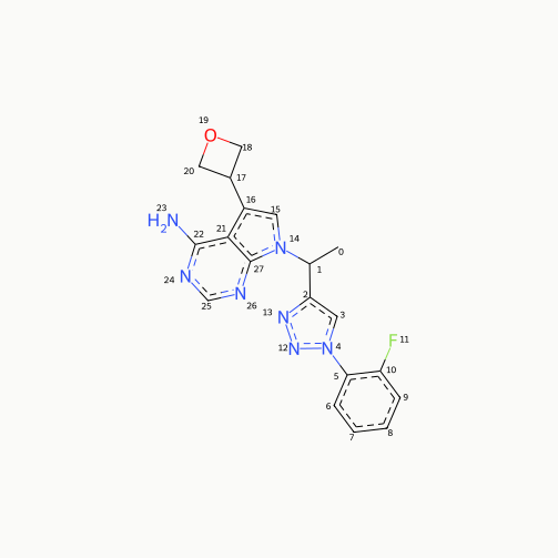 CC(c1cn(-c2ccccc2F)nn1)n1cc(C2COC2)c2c(N)ncnc21